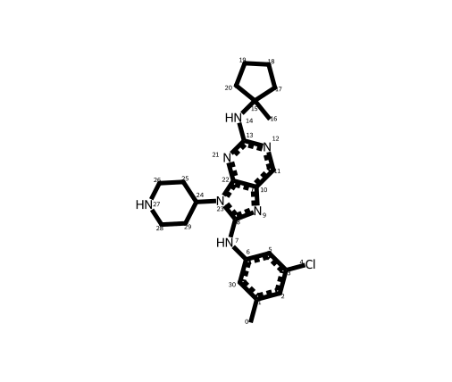 Cc1cc(Cl)cc(Nc2nc3cnc(NC4(C)CCCC4)nc3n2C2CCNCC2)c1